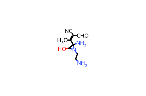 C/C(=C(\C#N)C=O)C1(N)C(O)N1CCN